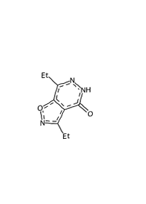 CCc1n[nH]c(=O)c2c(CC)noc12